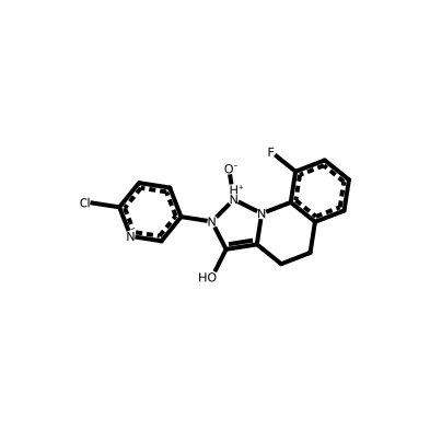 [O-][NH+]1N(c2ccc(Cl)nc2)C(O)=C2CCc3cccc(F)c3N21